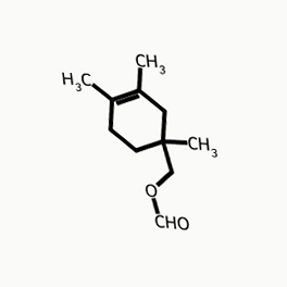 CC1=C(C)CC(C)(COC=O)CC1